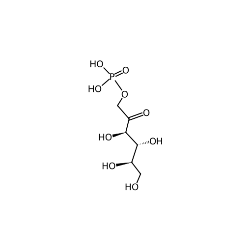 O=C(COP(=O)(O)O)[C@H](O)[C@H](O)[C@H](O)CO